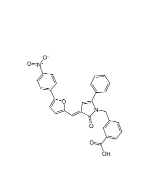 O=C(O)c1cccc(CN2C(=O)/C(=C/c3ccc(-c4ccc([N+](=O)[O-])cc4)o3)C=C2c2ccccc2)c1